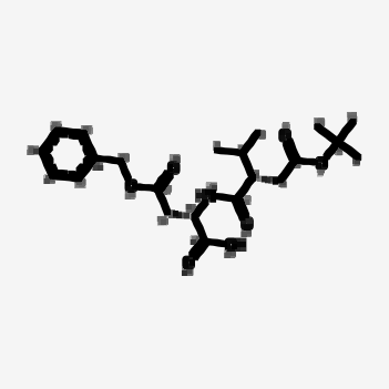 CC(C)[C@H](CC(=O)OC(C)(C)C)C(=O)N[C@@H](CC(=O)OCc1ccccc1)C(=O)O